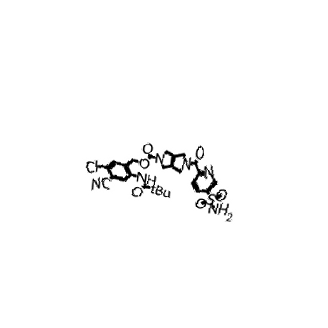 CC(C)(C)C(=O)Nc1cc(C#N)c(Cl)cc1COC(=O)N1CC2=C(C1)CN(C(=O)c1ccc(S(N)(=O)=O)cn1)C2